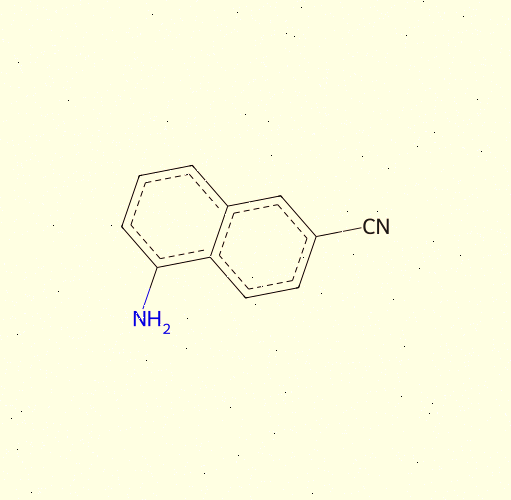 N#Cc1ccc2c(N)cccc2c1